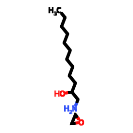 C1CO1.CCCCCCCCCCC(O)CN